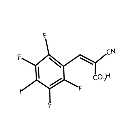 N#CC(=Cc1c(F)c(F)c(I)c(F)c1F)C(=O)O